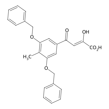 Cc1c(OCc2ccccc2)cc(C(=O)/C=C(\O)C(=O)O)cc1OCc1ccccc1